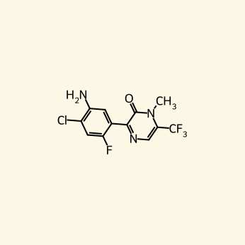 Cn1c(C(F)(F)F)cnc(-c2cc(N)c(Cl)cc2F)c1=O